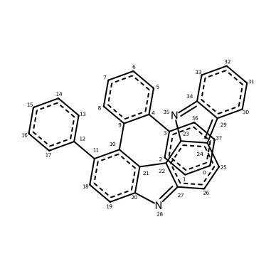 c1ccc(-c2ccccc2-c2c(-c3ccccc3)ccc3c2-c2c4c(ccc2=N3)=c2ccccc2=N4)cc1